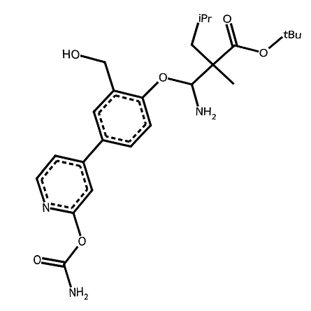 CC(C)CC(C)(C(=O)OC(C)(C)C)C(N)Oc1ccc(-c2ccnc(OC(N)=O)c2)cc1CO